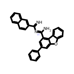 N=C(/N=C(\N)c1cc(-c2ccccc2)cc2oc3ccccc3c12)c1ccc2ccccc2c1